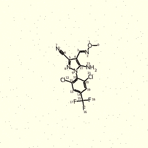 CON=Cc1c(C#N)nn(-c2c(Cl)cc(C(F)(F)F)cc2Cl)c1N